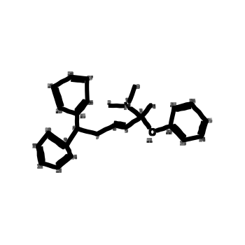 CN(C)C(C)(C=CCC(c1ccccc1)c1ccccc1)Oc1ccccc1